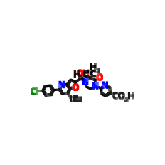 CC(C)(C)c1cc(-c2ccc(Cl)cc2)nc2cc(C(O)N3CCN(c4ccc(C(=O)O)cn4)C(=O)C3(C)C)oc12